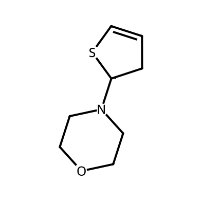 C1=CS[C](N2CCOCC2)C1